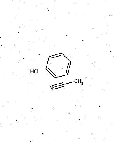 CC#N.Cl.c1ccccc1